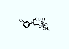 CS(=O)(=O)OCCN(CC(=O)O)c1cccc(Cl)c1